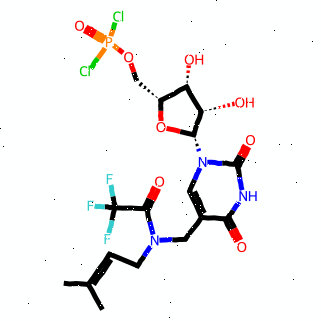 CC(C)=CCN(Cc1cn([C@@H]2O[C@H](COP(=O)(Cl)Cl)[C@H](O)[C@@H]2O)c(=O)[nH]c1=O)C(=O)C(F)(F)F